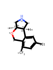 CCc1cc2c(c(C(F)(F)F)c1)CO[C@@]1(C)CNC[C@@H]21